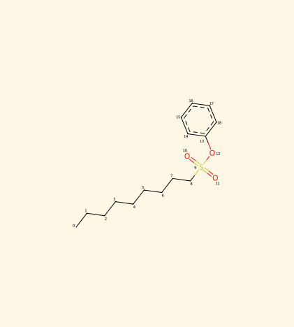 CCCCCCCCCS(=O)(=O)Oc1ccccc1